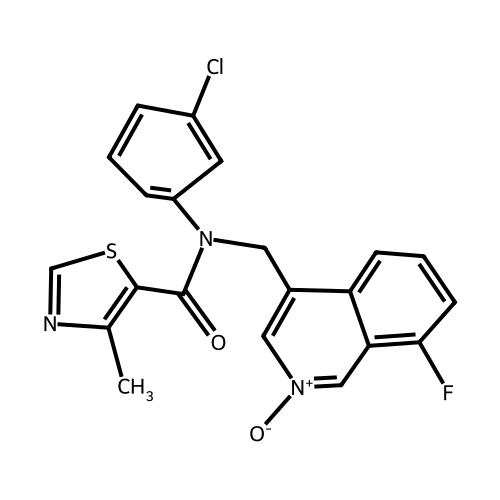 Cc1ncsc1C(=O)N(Cc1c[n+]([O-])cc2c(F)cccc12)c1cccc(Cl)c1